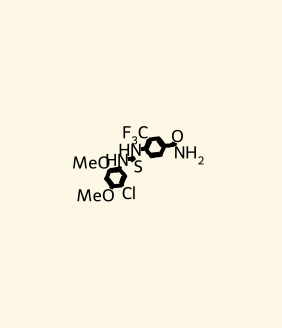 COc1cc(OC)c(NC(=S)Nc2ccc(C(N)=O)cc2C(F)(F)F)cc1Cl